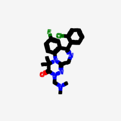 CN(C)CN1N=C2CN=C(c3ccccc3Cl)c3cc(F)ccc3N2C(C)(C)C1=O